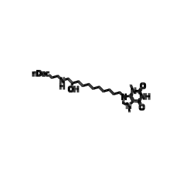 CCCCCCCCCCCCNCC(O)CCCCCCCCCN1CN(C)c2c1n(C)c(=O)[nH]c2=O